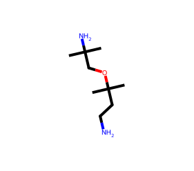 CC(C)(N)COC(C)(C)CCN